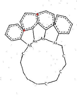 c1ccc([As]2CCCCCCCCCCC[As](c3ccccc3)[As](c3ccccc3)[As]2c2ccccc2)cc1